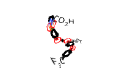 CCCc1cc(Oc2ccc(C(F)(F)F)cc2)ccc1OCCOc1ccc(S(=O)(=O)N2CCCC2C(=O)O)cc1